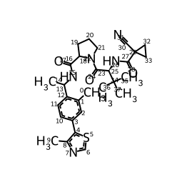 Cc1cc(-c2scnc2C)ccc1C(C)NC(=O)C1CCCN1C(=O)[C@@H](NC(=O)C1(C#N)CC1)C(C)(C)C